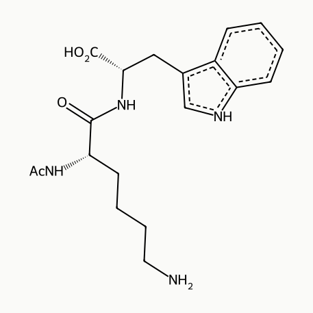 CC(=O)N[C@@H](CCCCN)C(=O)N[C@@H](Cc1c[nH]c2ccccc12)C(=O)O